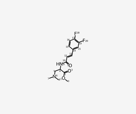 COC(=O)C(CN(C)C)NC(=O)C=Cc1ccc(F)c(F)c1